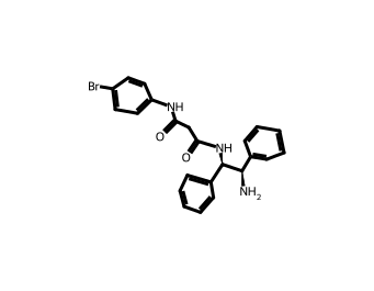 N[C@H](c1ccccc1)[C@H](NC(=O)CC(=O)Nc1ccc(Br)cc1)c1ccccc1